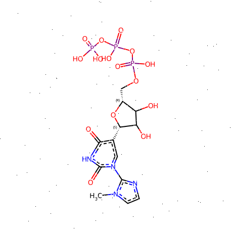 Cn1ccnc1-n1cc([C@@H]2O[C@H](COP(=O)(O)OP(=O)(O)OP(=O)(O)O)C(O)C2O)c(=O)[nH]c1=O